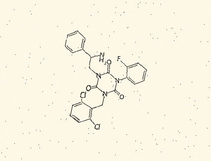 NC(Cn1c(=O)n(Cc2c(Cl)cccc2Cl)c(=O)n(-c2ccccc2F)c1=O)c1ccccc1